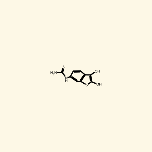 NC(=S)Nc1ccc2c(O)c(O)sc2c1